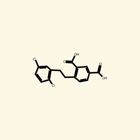 O=C(O)c1ccc(CCc2cc(Cl)ccc2Cl)c(C(=O)O)c1